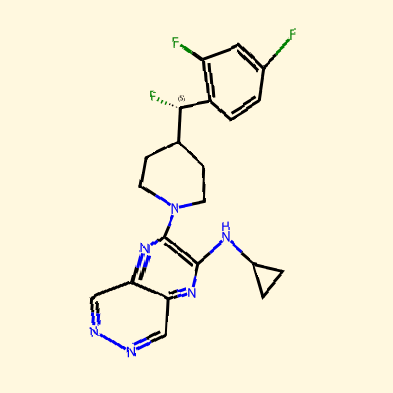 Fc1ccc([C@@H](F)C2CCN(c3nc4cnncc4nc3NC3CC3)CC2)c(F)c1